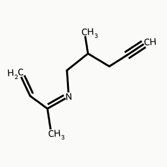 C#CCC(C)C/N=C(/C)C=C